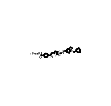 CCCCCOC(=O)c1ccc(/C(C#N)=C/c2cc3sc(/N=N/c4ccc5c(c4)CCN5Cc4ccccc4)nc3s2)cc1